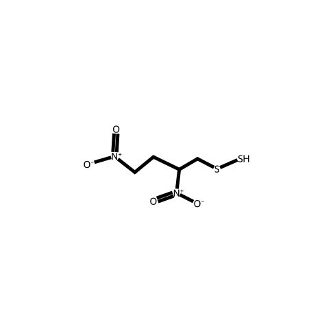 O=[N+]([O-])CCC(CSS)[N+](=O)[O-]